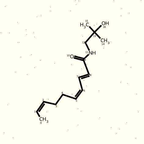 C/C=C\CC/C=C\C=C\C(=O)NCC(C)(C)O